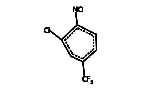 O=Nc1ccc(C(F)(F)F)cc1Cl